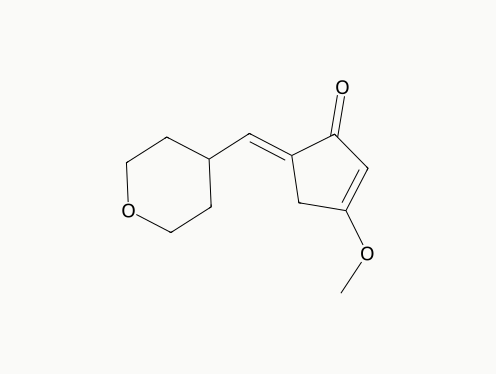 COC1=CC(=O)C(=CC2CCOCC2)C1